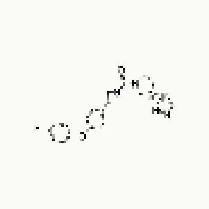 O=C(N1CC(c2ccc(Oc3ccc(F)cc3)cc2)C1)N1CC[C@@H](n2ncnn2)C1